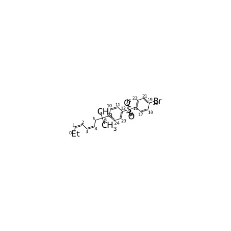 CC/C=C\C=C/CC(C)(C)c1ccc(S(=O)(=O)c2ccc(Br)cc2)cc1